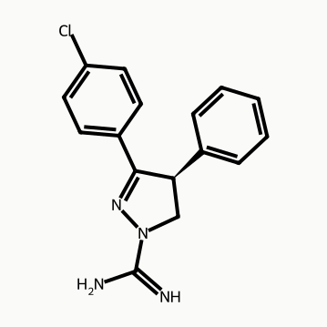 N=C(N)N1C[C@H](c2ccccc2)C(c2ccc(Cl)cc2)=N1